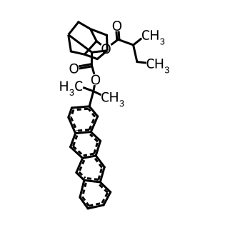 CCC(C)C(=O)OC1C2CC3CC1CC(C2)C3C(=O)OC(C)(C)c1ccc2cc3cc4ccccc4cc3cc2c1